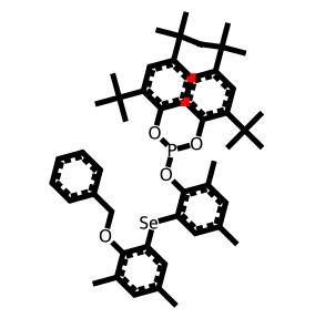 Cc1cc(C)c(OCc2ccccc2)c([Se]c2cc(C)cc(C)c2OP(Oc2ccc(C(C)(C)C)cc2C(C)(C)C)Oc2ccc(C(C)(C)C)cc2C(C)(C)C)c1